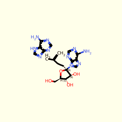 C=C(C)CC[C@@]1(n2cnc3c(N)ncnc32)O[C@H](CO)[C@@H](O)[C@H]1O.Nc1ncnc2nc[nH]c12